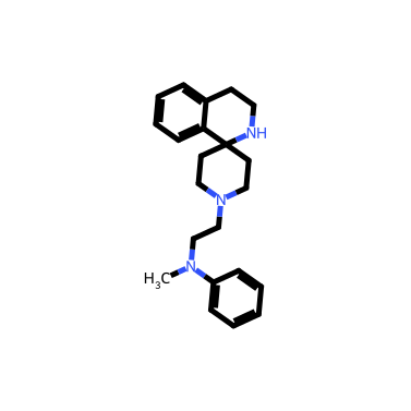 CN(CCN1CCC2(CC1)NCCc1ccccc12)c1ccccc1